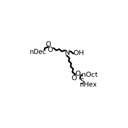 CCCCCCCCCCCC(=O)OCCCCCN(CCO)CCCCCCCC(=O)OC(CCCCCCCC)CSCCCCCC